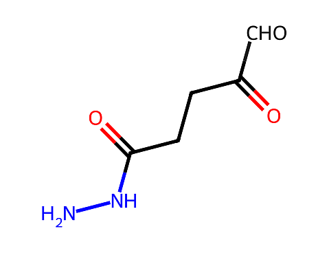 NNC(=O)CCC(=O)C=O